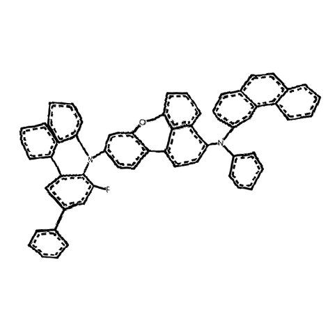 Fc1cc(-c2ccccc2)cc(-c2ccccc2)c1N(c1ccccc1)c1ccc2c(c1)Oc1cccc3c(N(c4ccccc4)c4ccc5ccc6ccccc6c5c4)ccc-2c13